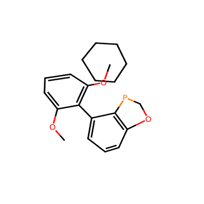 COc1cccc(OC)c1-c1cccc2c1[P@@](C1CCCCC1)CO2